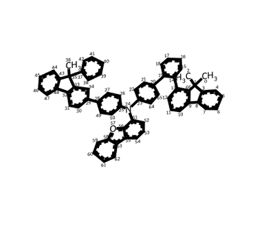 CC1(C)c2ccccc2-c2cccc(-c3ccccc3-c3ccc(N(c4ccc(-c5ccc6c(c5)C(C)(c5ccccc5)c5ccccc5-6)cc4)c4cccc5c4oc4ccccc45)cc3)c21